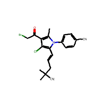 Cc1c(C(=O)CBr)c(Cl)c(C=CCC(C)(C)C#N)n1-c1ccc(C#N)cc1